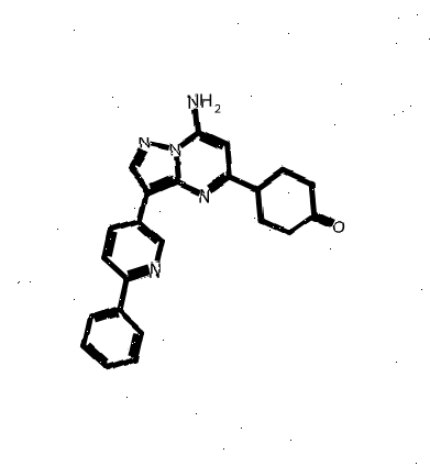 Nc1cc(C2CCC(=O)CC2)nc2c(-c3ccc(-c4ccccc4)nc3)cnn12